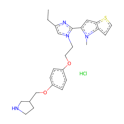 CCc1cn(CCOc2ccc(OCC3CCNC3)cc2)c(-c2cc3sccc3n2C)n1.Cl